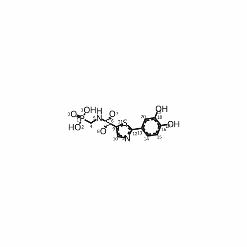 O=P(O)(O)CNS(=O)(=O)c1cnc(-c2ccc(O)c(O)c2)s1